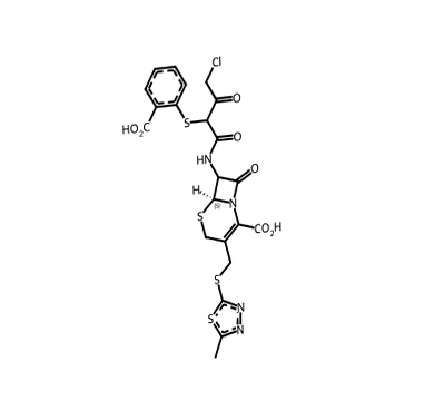 Cc1nnc(SCC2=C(C(=O)O)N3C(=O)C(NC(=O)C(Sc4ccccc4C(=O)O)C(=O)CCl)[C@@H]3SC2)s1